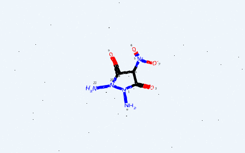 NN1C(=O)C([N+](=O)[O-])C(=O)N1N